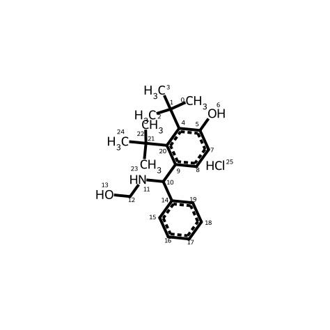 CC(C)(C)c1c(O)ccc(C(NCO)c2ccccc2)c1C(C)(C)C.Cl